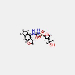 CC(C)(O)c1coc(S(=O)(=O)NC(=O)Nc2c3c(cc4c2CCO4)CCC3)c1